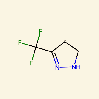 FC(F)(F)C1=NNC[C]1